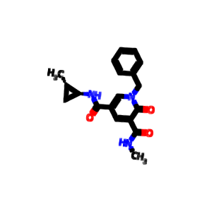 CNC(=O)c1cc(C(=O)N[C@H]2C[C@@H]2C)cn(Cc2ccccc2)c1=O